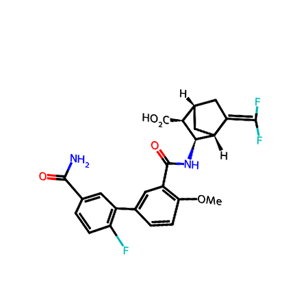 COc1ccc(-c2cc(C(N)=O)ccc2F)cc1C(=O)N[C@H]1[C@@H](C(=O)O)[C@@H]2CC(=C(F)F)[C@H]1C2